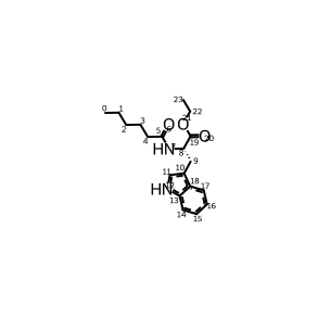 CCCCCC(=O)N[C@@H](Cc1c[nH]c2ccccc12)C(=O)OCC